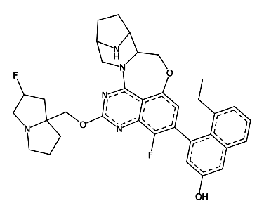 CCc1cccc2cc(O)cc(-c3cc4c5c(nc(OCC67CCCN6CC(F)C7)nc5c3F)N3CC5CCC(N5)C3CO4)c12